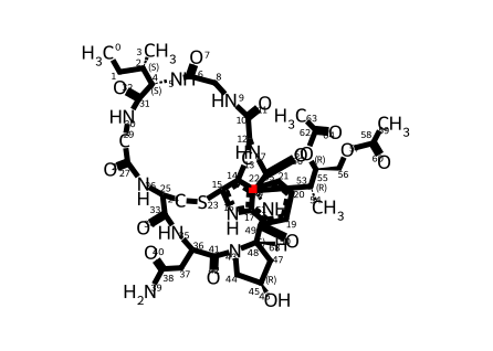 CC[C@H](C)[C@@H]1NC(=O)CNC(=O)C2Cc3c([nH]c4ccccc34)SCC(NC(=O)CNC1=O)C(=O)NC(CC(N)=O)C(=O)N1C[C@H](O)C[C@H]1C(=O)N[C@@H]([C@@H](C)[C@H](COC(C)=O)OC(C)=O)C(=O)N2